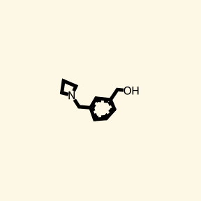 OCc1cccc(CN2CCC2)c1